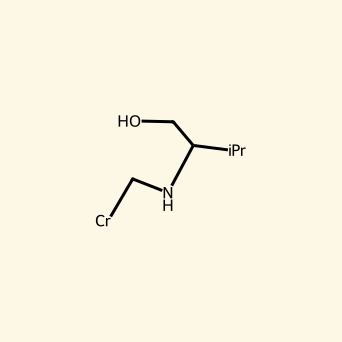 CC(C)C(CO)N[CH2][Cr]